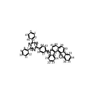 c1ccc(-c2nc(-c3ccccc3)nc(-c3ccc(-n4c5ccccc5c5c6c(ccc7c8ccccc8oc76)ccc54)cc3)n2)cc1